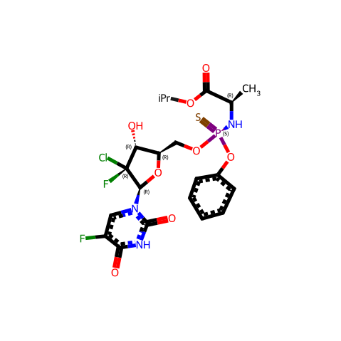 CC(C)OC(=O)[C@@H](C)N[P@](=S)(OC[C@H]1O[C@@H](n2cc(F)c(=O)[nH]c2=O)[C@](F)(Cl)[C@@H]1O)Oc1ccccc1